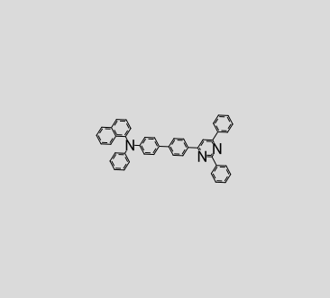 c1ccc(-c2cc(-c3ccc(-c4ccc(N(c5ccccc5)c5cccc6ccccc56)cc4)cc3)nc(-c3ccccc3)n2)cc1